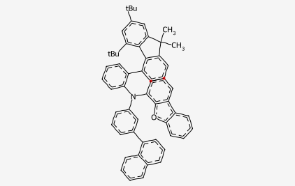 CC(C)(C)c1cc(C(C)(C)C)c2c(c1)C(C)(C)c1cccc(-c3ccccc3N(c3cccc(-c4cccc5ccccc45)c3)c3cccc4c3oc3ccccc34)c1-2